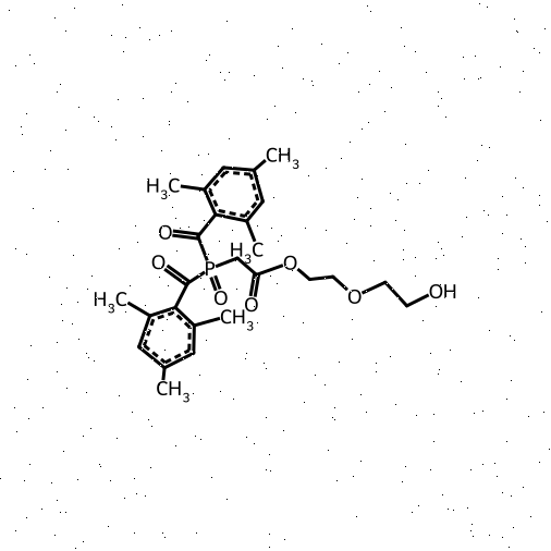 Cc1cc(C)c(C(=O)P(=O)(CC(=O)OCCOCCO)C(=O)c2c(C)cc(C)cc2C)c(C)c1